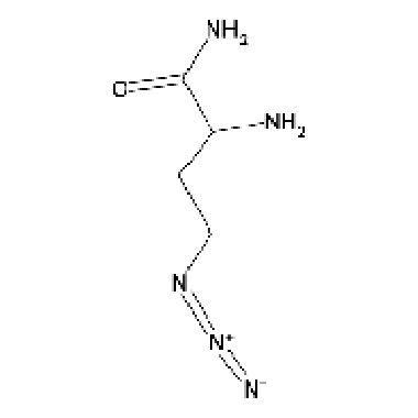 [N-]=[N+]=NCCC(N)C(N)=O